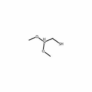 CO[SiH](CS)OC